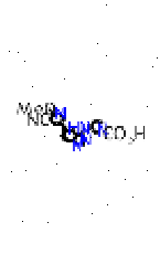 COc1ncc(-c2ccc3ncnc(NC4CCN(C(=O)O)C4)c3c2)cc1C#N